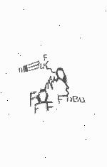 CCCCC(CF)CCCc1cccc(CCCC(CF)CCCC)c1C=NN=Cc1cc(F)c(F)c(F)c1